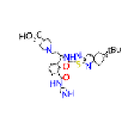 CC(C)(C)[C@H]1CCc2nc3sc(C(=O)N[C@H](CCN4CCC(C(=O)O)CC4)c4cccc(C(=O)NC5CNC5)c4)nc3cc2C1